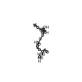 CCN(c1cc(-c2ccc(CN3CCN(CC(=O)NCCCOCCCOCC(=O)N[C@H](C(=O)N4C[C@H](O)C[C@H]4C(=O)NCc4ccc(-c5scnc5C)cc4)C(C)(C)C)CC3)cc2)cc(C(=O)NCc2c(C)cc(C)[nH]c2=O)c1C)C1CCOCC1